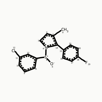 Cc1ccn([S+]([O-])c2cccc(Cl)c2)c1-c1ccc(F)cc1